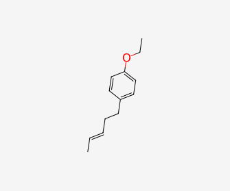 C/C=C/CCc1ccc(OCC)cc1